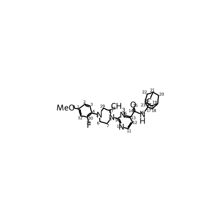 COc1ccc(N2CCN(c3nccc(C(=O)NC45CC6CC(CC4C6)C5)n3)[C@H](C)C2)c(F)c1